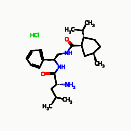 CC(C)C[C@@H](N)C(=O)N[C@H](CNC(=O)[C@@H]1C[C@H](C)CC[C@H]1C(C)C)c1ccccc1.Cl